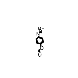 O=COc1ccc(N=NO)cc1